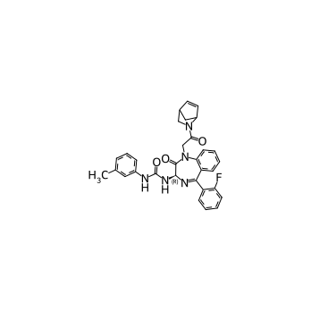 Cc1cccc(NC(=O)N[C@@H]2N=C(c3ccccc3F)c3ccccc3N(CC(=O)N3CC4C=CC3C4)C2=O)c1